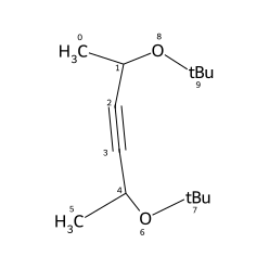 CC(C#CC(C)OC(C)(C)C)OC(C)(C)C